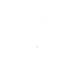 COCCN1C(=O)CCCC1=O